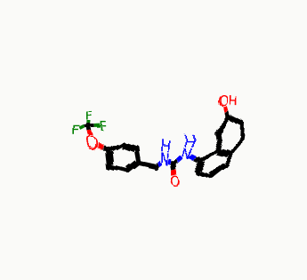 O=C(NCc1ccc(OC(F)(F)F)cc1)Nc1cccc2c1CC(O)CC2